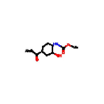 COC(=O)[C@H]1CC[C@H](NC(=O)OC(C)(C)C)[C@@H](O)C1